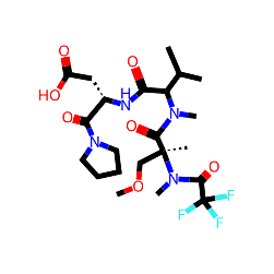 COC[C@@](C)(C(=O)N(C)C(C(=O)N[C@@H](CC(=O)O)C(=O)N1CCCC1)C(C)C)N(C)C(=O)C(F)(F)F